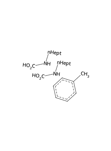 CCCCCCCNC(=O)O.CCCCCCCNC(=O)O.Cc1ccccc1